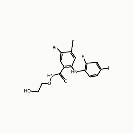 O=C(NOCCO)c1cc(Br)c(F)cc1Nc1ccc(I)cc1F